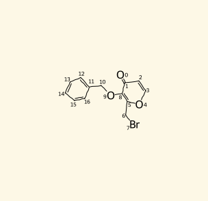 O=c1ccoc(CBr)c1OCc1ccccc1